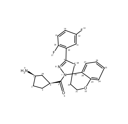 N[C@@H]1CC[C@H](C(=O)N2N=C(c3cc(F)ccc3F)SC23CCOc2ccccc23)C1